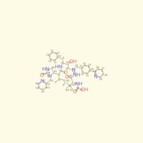 CCC(C)C(C(=O)NC(Cc1ccccc1)C(O)CN(Cc1ccc(-c2ccccn2)cc1)NC(=O)C(NC(=O)O)C(C)(C)C)C1CNC(=O)N1Cc1ccccn1